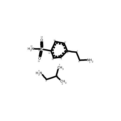 CC(C)CN.NCCc1ccc(S(N)(=O)=O)cc1